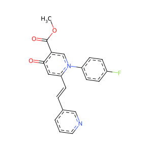 COC(=O)c1cn(-c2ccc(F)cc2)c(/C=C/c2cccnc2)cc1=O